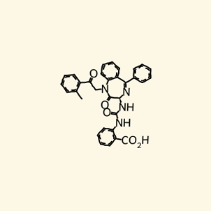 Cc1ccccc1C(=O)CN1C(=O)[C@H](NC(=O)Nc2ccccc2C(=O)O)N=C(c2ccccc2)c2ccccc21